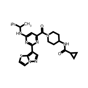 CC(C)C(C)Nc1cc(C(=O)N2CCC(NC(=O)C3CC3)CC2)nc(-c2cnn3ccsc23)n1